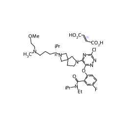 CCN(C(=O)c1cc(F)ccc1Oc1nnc(Cl)nc1N1CCC2(C1)CN([C@H](CCCN(C)CCOC)C(C)C)C2)C(C)C.O=C(O)/C=C/C(=O)O